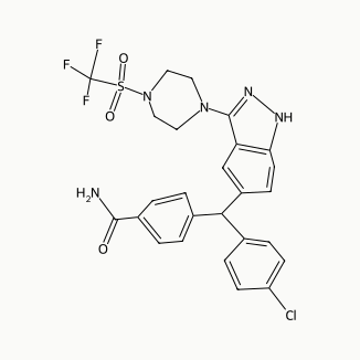 NC(=O)c1ccc(C(c2ccc(Cl)cc2)c2ccc3[nH]nc(N4CCN(S(=O)(=O)C(F)(F)F)CC4)c3c2)cc1